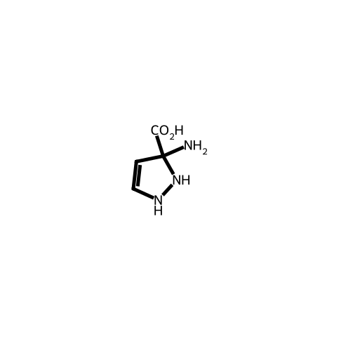 NC1(C(=O)O)C=CNN1